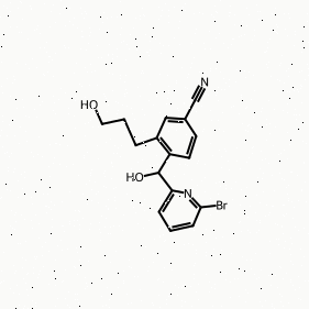 N#Cc1ccc(C(O)c2cccc(Br)n2)c(CCCO)c1